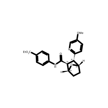 CCOC(=O)c1ccc(NC(=O)[C@H]2[C@H](c3ccc(OC)cn3)[C@@H]3CC[C@H]2O3)cc1